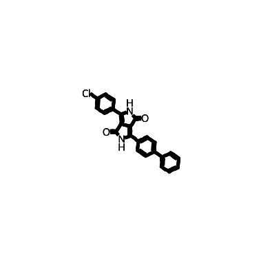 O=C1NC(c2ccc(-c3ccccc3)cc2)=C2C(=O)NC(c3ccc(Cl)cc3)=C12